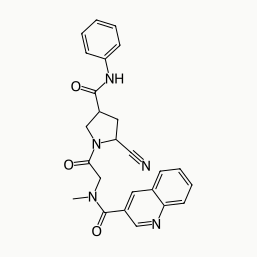 CN(CC(=O)N1CC(C(=O)Nc2ccccc2)CC1C#N)C(=O)c1cnc2ccccc2c1